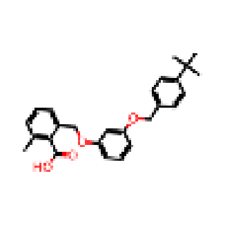 Cc1cccc(COc2cccc(OCc3ccc(C(C)(C)C)cc3)c2)c1C(=O)O